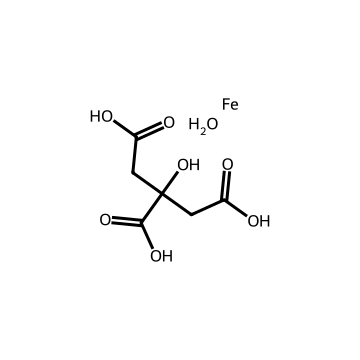 O.O=C(O)CC(O)(CC(=O)O)C(=O)O.[Fe]